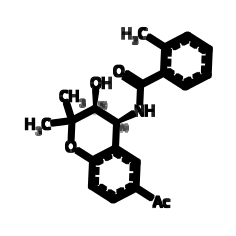 CC(=O)c1ccc2c(c1)[C@H](NC(=O)c1ccccc1C)[C@H](O)C(C)(C)O2